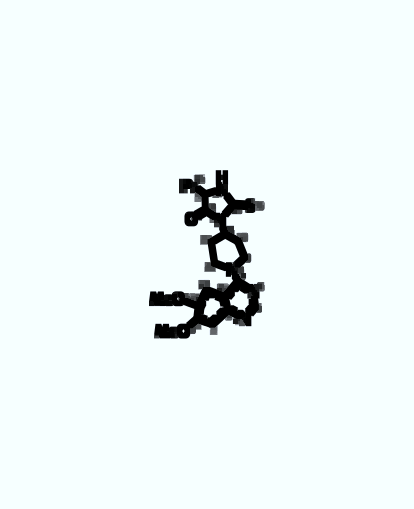 COc1cc2ncnc(N3CCC(N4C(=O)C(C(C)C)NC4=S)CC3)c2cc1OC